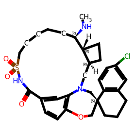 CN[C@@H]1CCCCCS(=O)(=O)NC(=O)c2ccc3c(c2)N(C[C@@H]2CC[C@H]21)C[C@@]1(CCCc2cc(Cl)ccc21)CO3